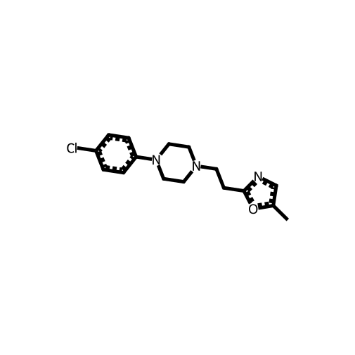 Cc1cnc(CCN2CCN(c3ccc(Cl)cc3)CC2)o1